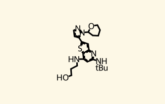 CC(C)(C)Nc1cc(NCCCO)c2sc(-c3ccnn3C3CCCCO3)cc2n1